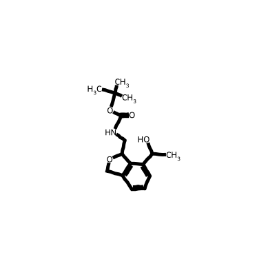 CC(O)c1cccc2c1C(CNC(=O)OC(C)(C)C)OC2